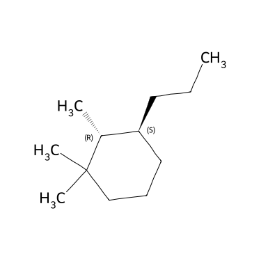 CCC[C@H]1CCCC(C)(C)[C@@H]1C